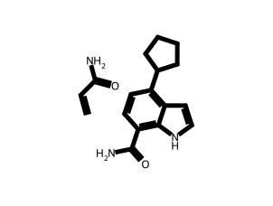 C=CC(N)=O.NC(=O)c1ccc(C2CCCC2)c2cc[nH]c12